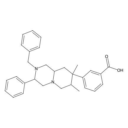 CC1CN2CC(c3ccccc3)N(Cc3ccccc3)CC2CC1(C)c1cccc(C(=O)O)c1